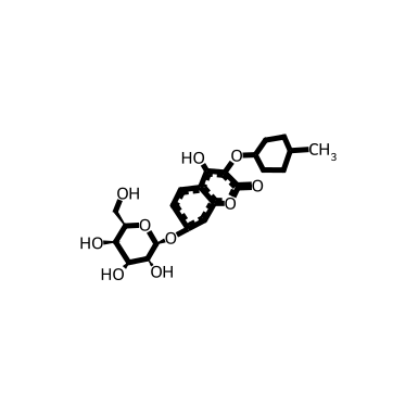 CC1CCC(Oc2c(O)c3ccc(O[C@@H]4O[C@H](CO)[C@H](O)[C@H](O)[C@H]4O)cc3oc2=O)CC1